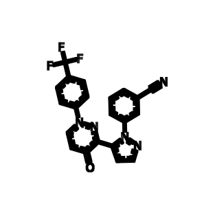 N#Cc1cccc(-n2nccc2-c2nn(-c3ccc(C(F)(F)F)cc3)ccc2=O)c1